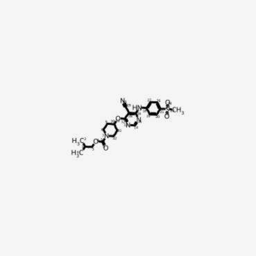 CC(C)COC(=O)N1CCC(Oc2ncnc(Nc3ccc(S(C)(=O)=O)cc3)c2C#N)CC1